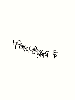 Cc1cc2c(ccn2CC(O)CO)c(C)c1CCS(=O)(=O)N1CCC2(CC1)N=C(C1CCC(CCC(F)(F)F)CC1)NC2=O